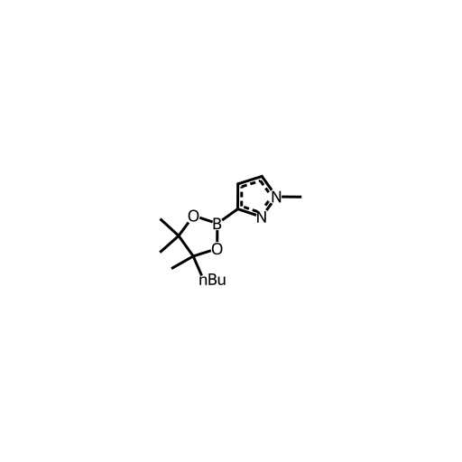 CCCCC1(C)OB(c2ccn(C)n2)OC1(C)C